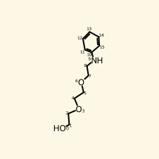 OCCOCCOCCNc1ccccc1